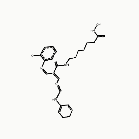 C=C(CCCCCCNC(=C)C(/C=N\c1ccccc1Cl)=C/N=C/NC1=CCCC=C1)NO